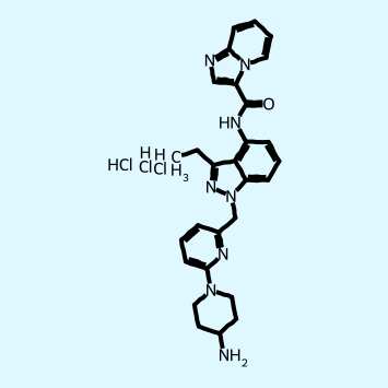 CCc1nn(Cc2cccc(N3CCC(N)CC3)n2)c2cccc(NC(=O)c3cnc4ccccn34)c12.Cl.Cl.Cl